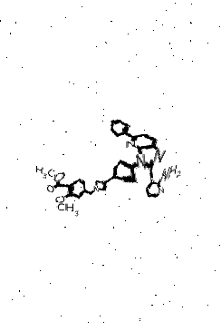 COC(=O)c1ccc(CN2CC(c3ccc(-n4c(-c5cccnc5N)nc5ccc(-c6ccccc6)nc54)cc3)C2)cc1OC